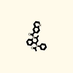 CC(=O)N(c1ccccc1)C1CC(C)N(C(=O)c2ccc3ncccc3c2)c2ccccc21